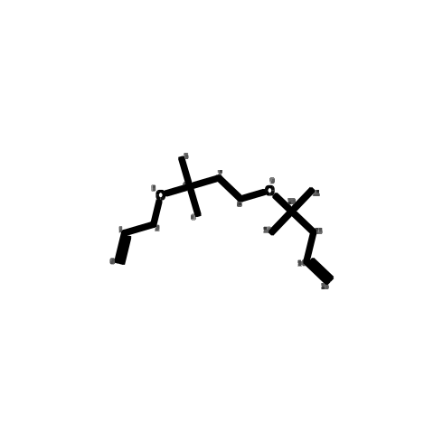 C=CCOC(C)(C)CCOC(C)(C)CC=C